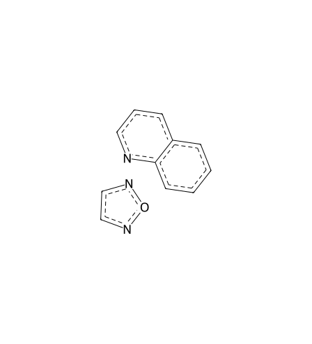 c1ccc2ncccc2c1.c1cnon1